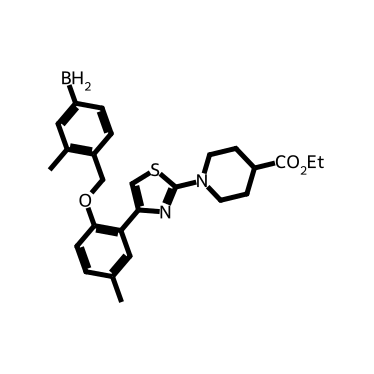 Bc1ccc(COc2ccc(C)cc2-c2csc(N3CCC(C(=O)OCC)CC3)n2)c(C)c1